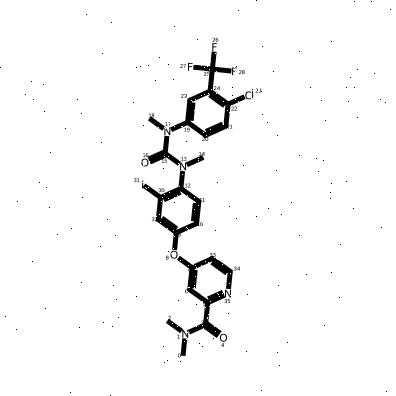 CN(C)C(=O)c1cc(Oc2ccc(N(C)C(=O)N(C)c3ccc(Cl)c(C(F)(F)F)c3)c(I)c2)ccn1